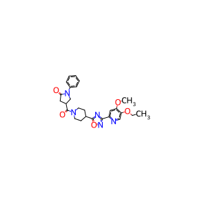 CCOc1cnc(-c2noc(C3CCN(C(=O)C4CC(=O)N(c5ccccc5)C4)CC3)n2)cc1OC